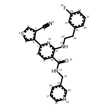 N#Cc1cscc1-c1ccc(C(=O)NCc2cccnc2)c(NCCc2cccc(F)c2)n1